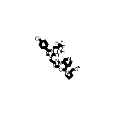 COCC1CCCN1C(=O)c1ccncc1-n1cnc(Cn2nc(-c3ccc(Cl)cc3)n(C[C@H](O)C(F)(F)F)c2=O)n1